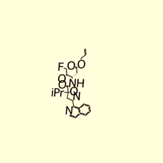 C=CCOC(=O)C[C@H](NC(=O)C1(C(C)C)CC(c2nccc3ccccc23)=NO1)C(=O)CF